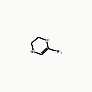 NC1=CNCCN1